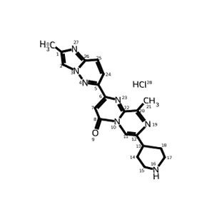 Cc1cn2nc(-c3cc(=O)n4cc(C5CCNCC5)nc(C)c4n3)ccc2n1.Cl